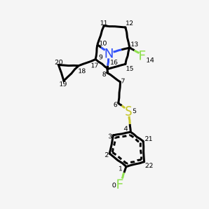 Fc1ccc(SCCCN2C3CCC2(F)C[CH]C3C2CC2)cc1